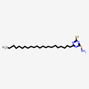 CCCCCCCCCCCCCCCCCCCCCCc1nc(S)nc(SN)n1